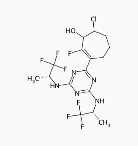 C[C@@H](Nc1nc(N[C@H](C)C(F)(F)F)nc(C2=C(F)C(O)C(Cl)CCC2)n1)C(F)(F)F